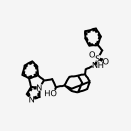 O=S(=O)(Cc1ccccc1)NCC1C2CC3CC1CC(C(O)CC1c4ccccc4-c4cncn41)(C3)C2